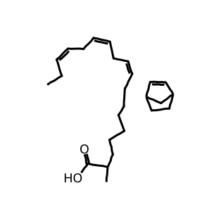 C1=CC2CCC1C2.CC/C=C\C/C=C\C/C=C\CCCCCCC(C)C(=O)O